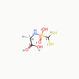 C[C@H](NP(=O)(O)C(S)S)C(=O)O